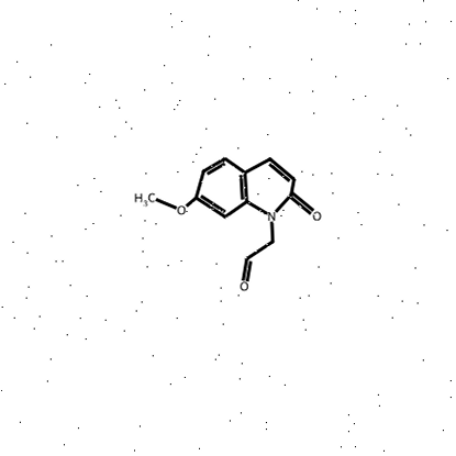 COc1ccc2ccc(=O)n(CC=O)c2c1